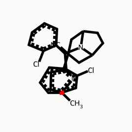 Cc1cccc(C2(C#N)CC3CCC(C2)N3C(c2ccccc2Cl)c2ccccc2Cl)n1